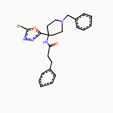 CCc1nnc(C2(NC(=O)CCc3ccccc3)CCN(Cc3ccccc3)CC2)o1